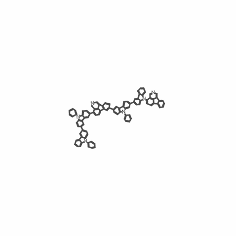 c1ccc(-n2c3ccccc3c3cc(-c4ccc5c(c4)c4cc(-c6ccc7c8c(cncc68)-c6ccc(-c8ccc9c(c8)c8ccc(-c%10ccc%11c(c%10)c%10ccccc%10n%11-c%10ccc%11c%12c(cncc%10%12)-c%10ccccc%10-%11)cc8n9-c8ccccc8)cc6-7)ccc4n5-c4ccccc4)ccc32)cc1